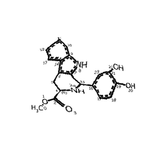 COC(=O)[C@H]1Cc2c([nH]c3ccccc23)C(c2ccc(O)c(O)c2)N1